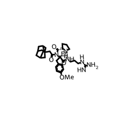 CC[C@](Cc1ccc(OC)cc1)(C(=O)NCCCNC(=N)N)N(C(=O)CC12CC3CC(CC(C3)C1)C2)C(=O)[C@@H]1CCCN1